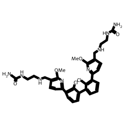 COc1nc(-c2cccc(-c3cccc(-c4ccc(CNCCNC(N)=O)c(OC)n4)c3Cl)c2Cl)ccc1CNCCNC(N)=O